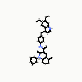 C=C1CCCC2=C1C=C(C(=C)Nc1ccc(Cc3ccnc4cc(CC)c(CC)cc34)cc1)C(=C)N2c1ccccc1